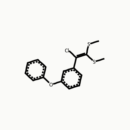 CSC(SC)=C(Cl)c1cccc(Oc2ccccc2)c1